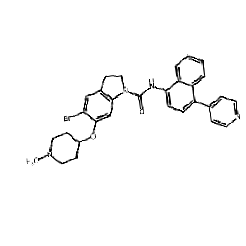 CN1CCC(Oc2cc3c(cc2Br)CCN3C(=O)Nc2ccc(-c3ccncc3)c3ccccc23)CC1